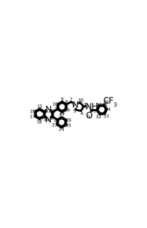 O=C(NC1CCN(Cc2ccc(-c3nc4ccccc4nc3-c3ccccc3)cc2)C1)c1cccc(C(F)(F)F)c1